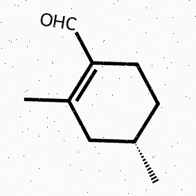 CC1=C(C=O)CC[C@H](C)C1